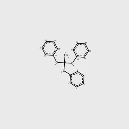 [CH2]C(Oc1ccccc1)(Oc1ccccc1)Oc1ccccc1